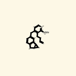 C=CCCc1c(Cc2ccc3c(c2)C2CC2C3)ccnc1NC